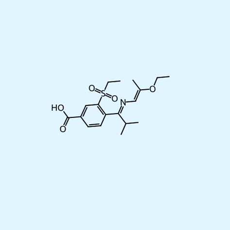 CCO/C(C)=C/N=C(/c1ccc(C(=O)O)cc1S(=O)(=O)CC)C(C)C